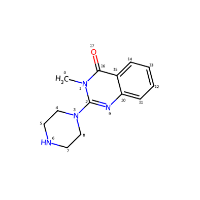 Cn1c(N2CCNCC2)nc2ccccc2c1=O